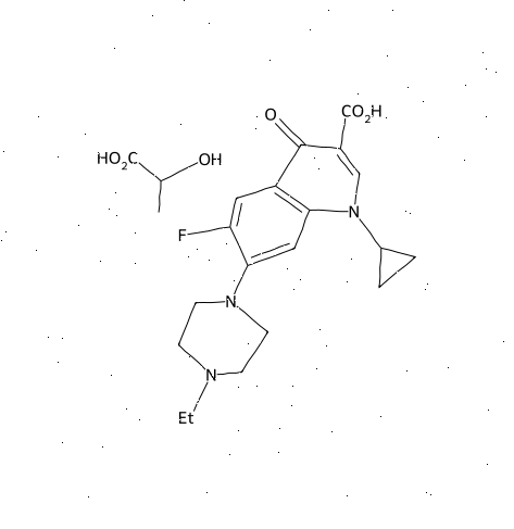 CC(O)C(=O)O.CCN1CCN(c2cc3c(cc2F)c(=O)c(C(=O)O)cn3C2CC2)CC1